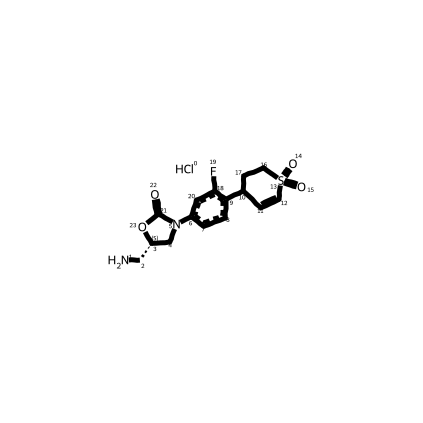 Cl.NC[C@H]1CN(c2ccc(C3C=CS(=O)(=O)CC3)c(F)c2)C(=O)O1